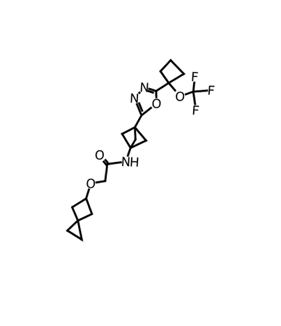 O=C(COC1CC2(CC2)C1)NC12CC(c3nnc(C4(OC(F)(F)F)CCC4)o3)(C1)C2